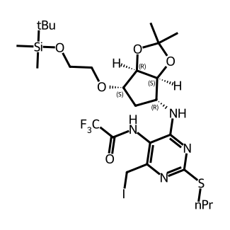 CCCSc1nc(CI)c(NC(=O)C(F)(F)F)c(N[C@@H]2C[C@H](OCCO[Si](C)(C)C(C)(C)C)[C@H]3OC(C)(C)O[C@H]32)n1